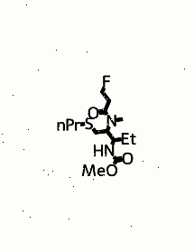 CCCSCC(C(CC)NC(=O)OC)N(C)C(=O)CCF